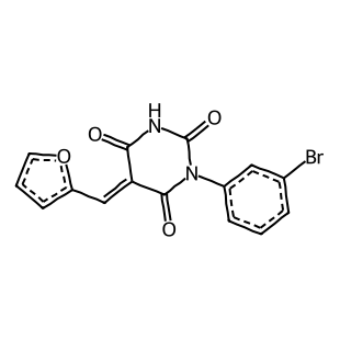 O=C1NC(=O)N(c2cccc(Br)c2)C(=O)C1=Cc1ccco1